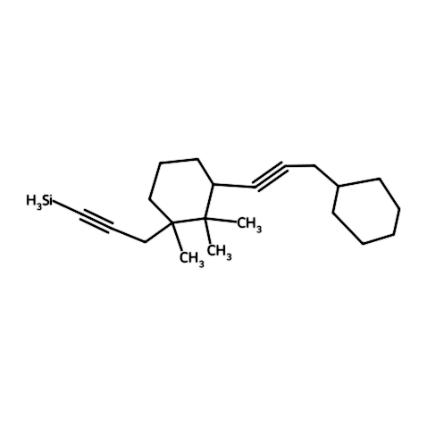 CC1(CC#C[SiH3])CCCC(C#CCC2CCCCC2)C1(C)C